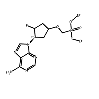 CCOP(=O)(COC1CC(F)[C@H](n2cnc3c(N)ncnc32)C1)OCC